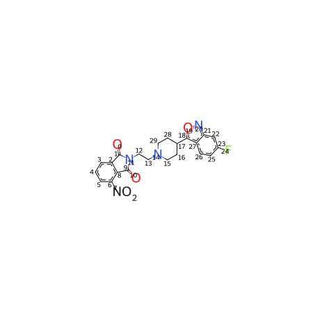 O=C1c2cccc([N+](=O)[O-])c2C(=O)N1CCN1CCC(c2onc3cc(F)ccc23)CC1